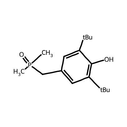 CC(C)(C)c1cc(CP(C)(C)=O)cc(C(C)(C)C)c1O